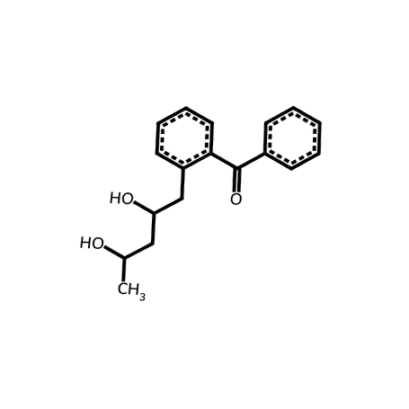 CC(O)CC(O)Cc1ccccc1C(=O)c1ccccc1